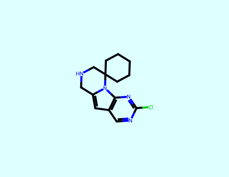 Clc1ncc2cc3n(c2n1)C1(CCCCC1)CNC3